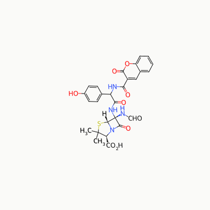 CC1(C)S[C@H]2N(C(=O)[C@@]2(NC=O)NC(=O)C(NC(=O)c2cc3ccccc3oc2=O)c2ccc(O)cc2)[C@H]1C(=O)O